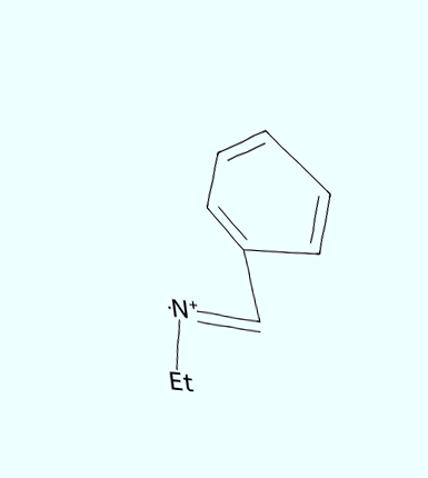 CC[N+]=Cc1ccccc1